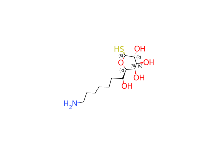 NCCCCCCC(O)[C@H]1O[C@@H](S)[C@H](O)[C@@H](O)[C@H]1O